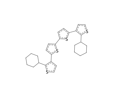 c1cc(-c2ccc(-c3ccc(-c4ccsc4C4CCCCC4)s3)s2)c(C2CCCCC2)s1